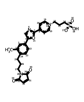 Cc1cc(-c2cnc(-c3cc[n+](CCCS(=O)(=O)O)cc3)o2)ccc1CCCN1C(=O)C=CC1=O